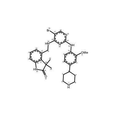 COc1cc(C2CCNCC2)ccc1Nc1ncc(Br)c(NCc2cccc3c2C(C)(C)C(=O)N3)n1